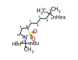 CCCCCCC(C)(C)CCCCC1CCN(C(C)(CCCC)CCCC)S1(=O)=O